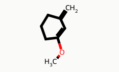 C=C1C=C(OC)CCC1